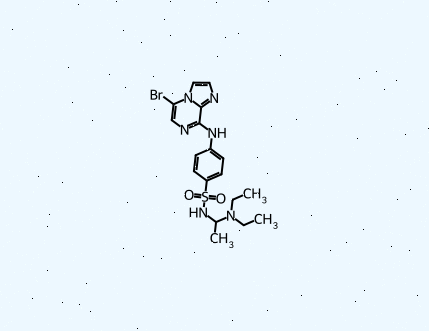 CCN(CC)C(C)NS(=O)(=O)c1ccc(Nc2ncc(Br)n3ccnc23)cc1